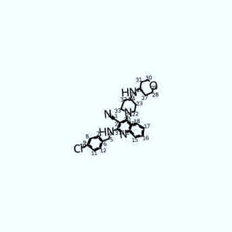 N#Cc1c(NCc2ccc(Cl)cc2)nc2ccccc2c1N1CCC(NC2CCOCC2)CC1